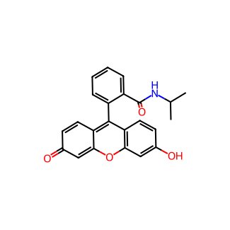 CC(C)NC(=O)c1ccccc1-c1c2ccc(=O)cc-2oc2cc(O)ccc12